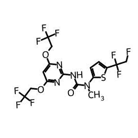 CN(C(=O)Nc1nc(OCC(F)(F)F)cc(OCC(F)(F)F)n1)c1ccc(C(F)(F)CF)s1